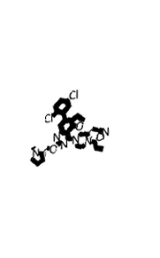 C=CC(=O)N1CCN(c2nc(OC[C@@H]3CCCN3C)nc3cc(-c4cc(Cl)ccc4Cl)c4ccoc4c23)C[C@@H]1CC#N